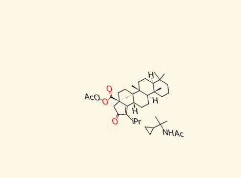 CC(=O)NC(C)(C)C1CC1.CC(=O)OOC(=O)[C@@]12CC[C@]3(C)[C@H](CC[C@@H]4[C@@]5(C)CCCC(C)(C)[C@@H]5CC[C@]43C)C1=C(C(C)C)C(=O)C2